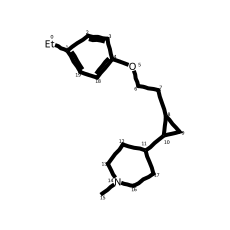 CCc1ccc(OCCC2CC2C2CCN(C)CC2)cc1